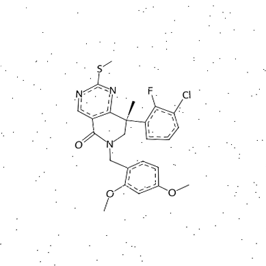 COc1ccc(CN2C[C@@](C)(c3cccc(Cl)c3F)c3nc(SC)ncc3C2=O)c(OC)c1